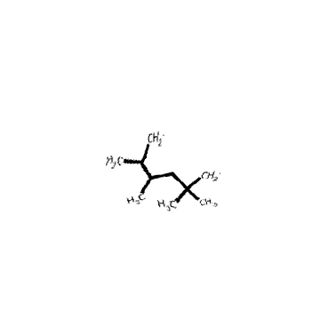 [CH2]C(C)C(C)CC([CH2])(C)C